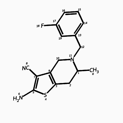 CC1Cc2sc(N)c(C#N)c2CN1Cc1cccc(F)c1